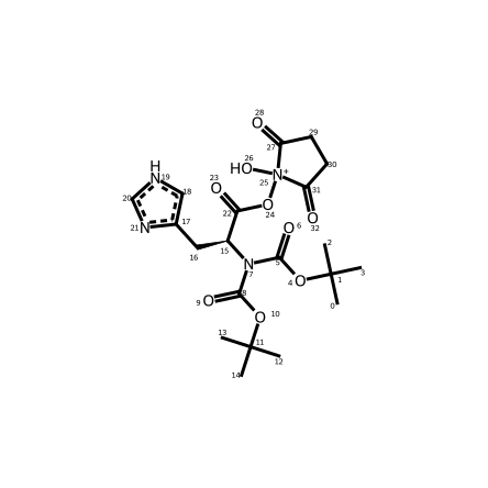 CC(C)(C)OC(=O)N(C(=O)OC(C)(C)C)[C@@H](Cc1c[nH]cn1)C(=O)O[N+]1(O)C(=O)CCC1=O